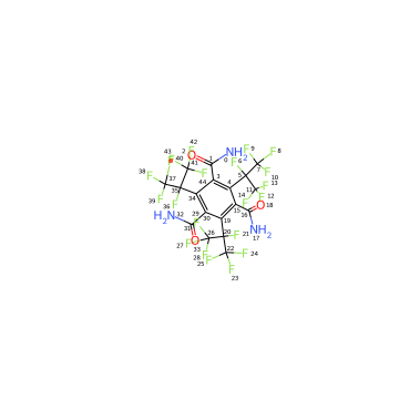 NC(=O)c1c(C(F)(C(F)(F)F)C(F)(F)F)c(C(N)=O)c(C(F)(C(F)(F)F)C(F)(F)F)c(C(N)=O)c1C(F)(C(F)(F)F)C(F)(F)F